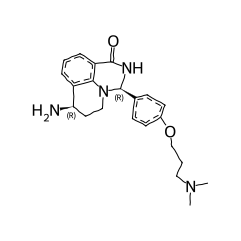 CN(C)CCCOc1ccc([C@@H]2NC(=O)c3cccc4c3N2CC[C@H]4N)cc1